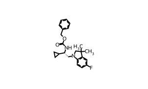 CC1(C)CN(C[C@@H](NC(=O)OCc2ccccc2)C2CC2)c2ccc(F)cc21